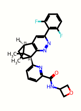 CC1(C)[C@H]2CC[C@@]1(c1cccc(C(=O)NC3COC3)n1)c1nnc(-c3c(F)cccc3F)cc12